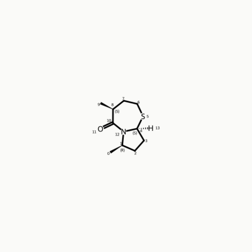 C[C@@H]1CC[C@@H]2SCC[C@H](C)C(=O)N12